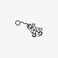 O=C(O[C@H]1C[N+]2(CCCC3CCCCC3)CCC1CC2)C(O)(c1cccs1)c1cccs1